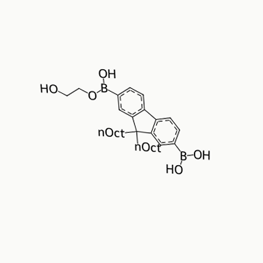 CCCCCCCCC1(CCCCCCCC)c2cc(B(O)O)ccc2-c2ccc(B(O)OCCO)cc21